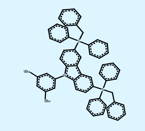 CC(C)(C)c1cc(-n2c3ccc(S(Cc4ccccc4)(c4ccccc4)c4ccccc4)cc3c3cc(S(Cc4ccccc4)(c4ccccc4)c4ccccc4)ccc32)cc(C(C)(C)C)c1